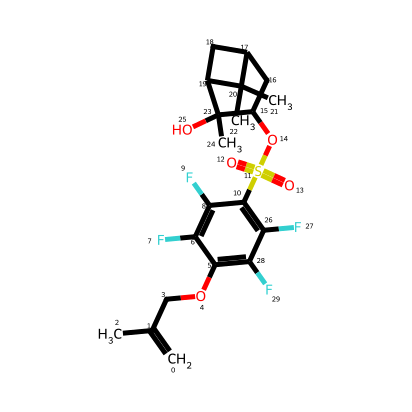 C=C(C)COc1c(F)c(F)c(S(=O)(=O)OC2CC3CC(C3(C)C)C2(C)O)c(F)c1F